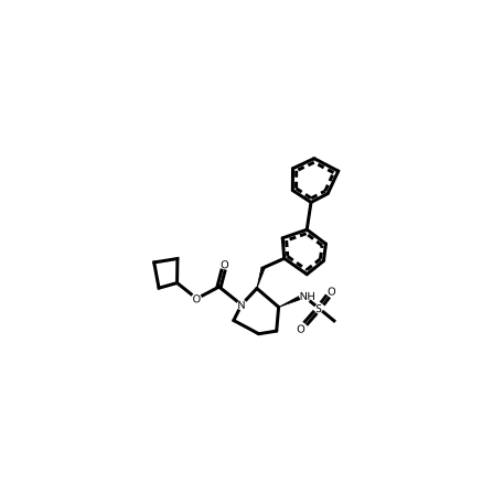 CS(=O)(=O)N[C@H]1CCCN(C(=O)OC2CCC2)[C@H]1Cc1cccc(-c2ccccc2)c1